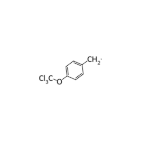 [CH2]c1ccc(OC(Cl)(Cl)Cl)cc1